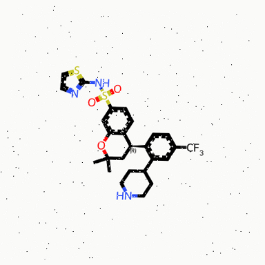 CC1(C)C[C@H](c2ccc(C(F)(F)F)cc2C2CCNCC2)c2ccc(S(=O)(=O)Nc3nccs3)cc2O1